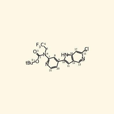 CC(C)(C)OC(=O)N(CC(F)(F)F)c1cc(-c2cc3cnc(Cl)cc3[nH]2)ccn1